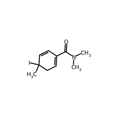 CN(C)C(=O)C1=CCC(C)(I)C=C1